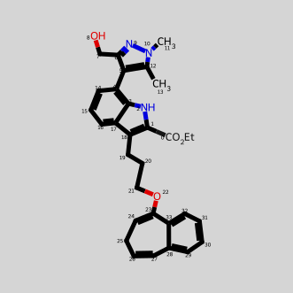 CCOC(=O)c1[nH]c2c(-c3c(CO)nn(C)c3C)cccc2c1CCCOC1=CCC=Cc2ccccc21